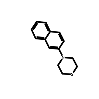 [c]1c(N2CCSCC2)ccc2ccccc12